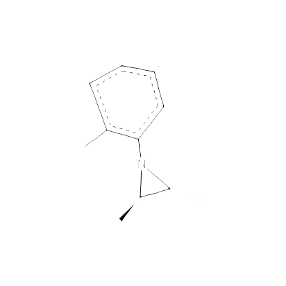 Cc1ccccc1N1[C@H](C)[C@H]1C